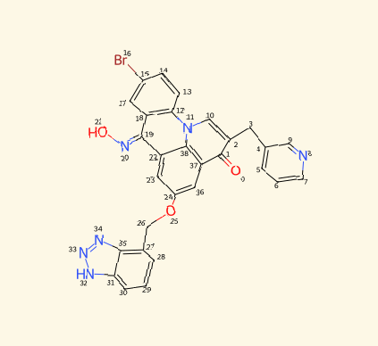 O=c1c(Cc2cccnc2)cn2c3ccc(Br)cc3c(=NO)c3cc(OCc4cccc5[nH]nnc45)cc1c32